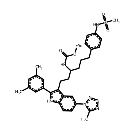 Cc1cc(C)cc(-c2[nH]c3ccc(-n4nnnc4C)cc3c2CCC(CCCc2ccc(NS(C)(=O)=O)cc2)NC(=O)OC(C)(C)C)c1